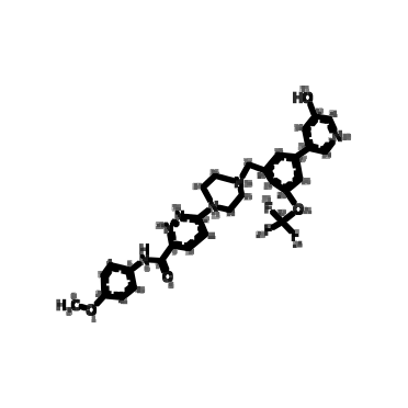 COc1ccc(NC(=O)c2ccc(N3CCN(Cc4cc(OC(F)(F)F)cc(-c5cncc(O)c5)c4)CC3)nn2)cc1